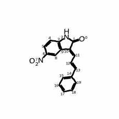 O=C1Nc2ccc([N+](=O)[O-])cc2C1=CC=Cc1ccccc1